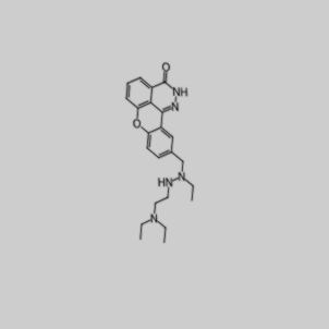 CCN(CC)CCNN(CC)Cc1ccc2c(c1)-c1n[nH]c(=O)c3cccc(c13)O2